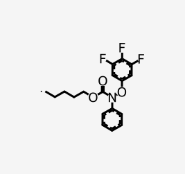 [CH2]CCCCOC(=O)N(Oc1cc(F)c(F)c(F)c1)c1ccccc1